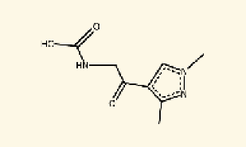 Cc1nn(C)cc1C(=O)CNC(=O)O